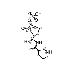 N=C(NC(=O)C1CCCNC1)C1CCC2CN1C(=O)N2OS(=O)(=O)O